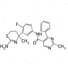 Cc1ncc(C(=O)Nc2ccc(F)c(C3(C)CCSC(N)=N3)c2)c(-c2ccccc2)n1